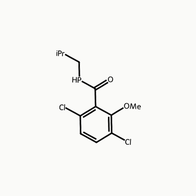 COc1c(Cl)ccc(Cl)c1C(=O)PCC(C)C